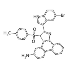 Cc1ccc(S(=O)(=O)C2C(c3c[nH]c4ccc(Br)cc34)=Nc3c2c2cc(N)ccc2c2ccccc32)cc1